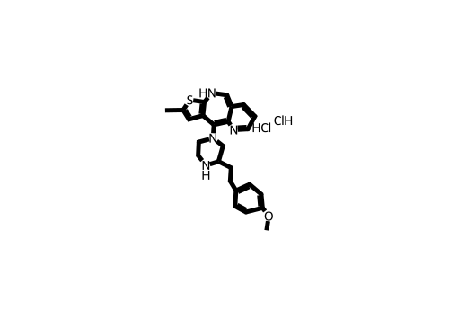 COc1ccc(CCC2CN(C3=c4ncccc4=CNc4sc(C)cc43)CCN2)cc1.Cl.Cl